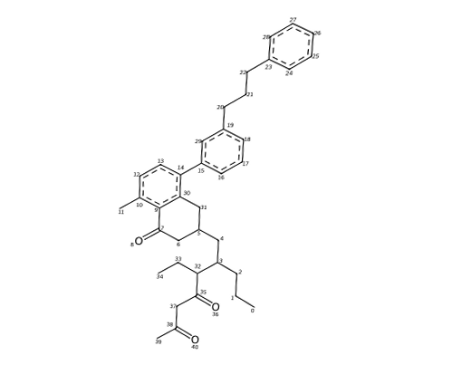 CCCC(CC1CC(=O)c2c(C)ccc(-c3cccc(CCCc4ccccc4)c3)c2C1)C(CC)C(=O)CC(C)=O